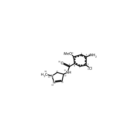 COc1cc(N)c(Cl)cc1C(=O)NC1C=NN(C)C1